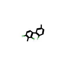 Cc1ccc(F)c(-c2ccc(F)c(C)c2F)c1